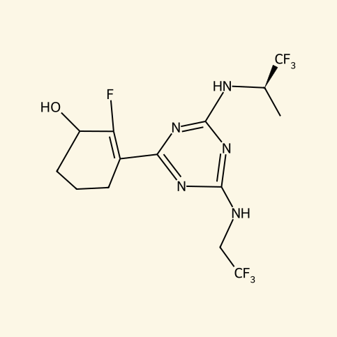 C[C@@H](Nc1nc(NCC(F)(F)F)nc(C2=C(F)C(O)CCC2)n1)C(F)(F)F